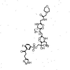 CC(C)C[C@H](NC(=O)CNC(=O)CN1CCOCC1)C(=O)NCC(=O)N[C@@H](CC(C)C)C(=O)C(C)(O)COS(=O)(=O)c1ccc(F)c(C(=O)CCc2c[nH]nn2)c1